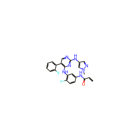 C=CC(=O)Nc1ccc(F)c(Nc2nc(Nc3cnn(C)c3)ncc2-c2ccccc2F)c1